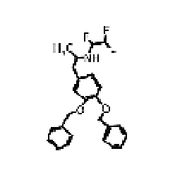 CC(Cc1ccc(OCc2ccccc2)c(OCc2ccccc2)c1)NC(F)C(F)F